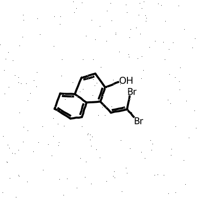 Oc1ccc2ccccc2c1C=C(Br)Br